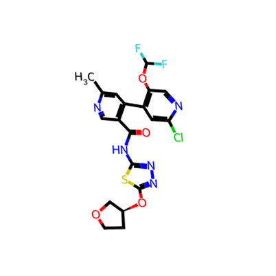 Cc1cc(-c2cc(Cl)ncc2OC(F)F)c(C(=O)Nc2nnc(O[C@H]3CCOC3)s2)cn1